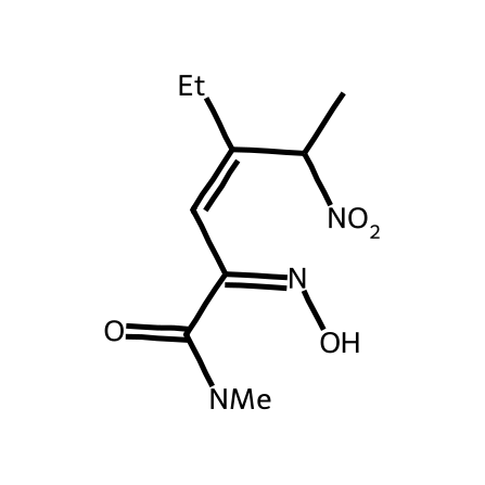 CCC(=CC(=NO)C(=O)NC)C(C)[N+](=O)[O-]